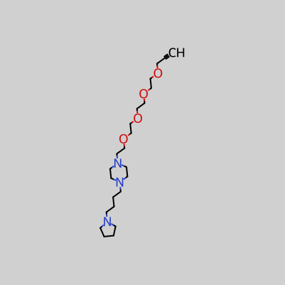 C#CCOCCOCCOCCOCCN1CCN(CCCCN2CCCC2)CC1